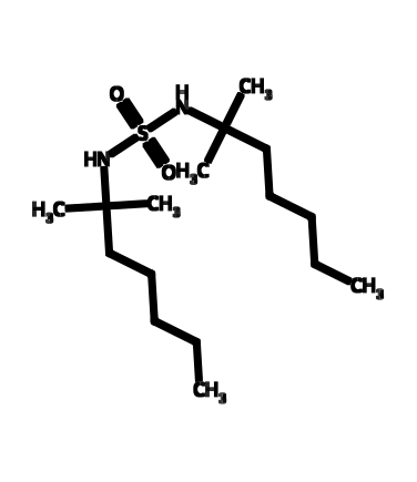 CCCCCC(C)(C)NS(=O)(=O)NC(C)(C)CCCCC